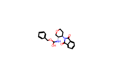 O=C1c2ccccc2C(=O)N1[C@@H]1CCOC[C@H]1NC(O)OCc1ccccc1